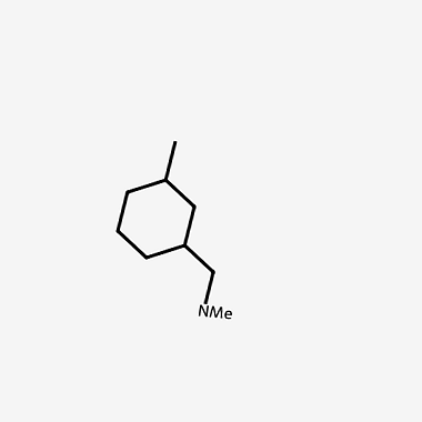 CNCC1CCCC(C)C1